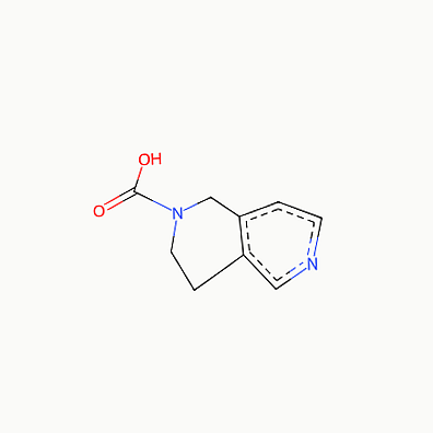 O=C(O)N1CCc2cnccc2C1